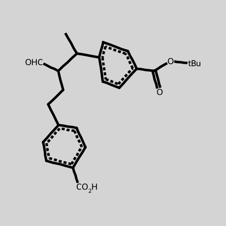 CC(c1ccc(C(=O)OC(C)(C)C)cc1)C(C=O)CCc1ccc(C(=O)O)cc1